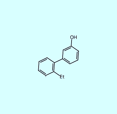 CCc1[c]cccc1-c1cccc(O)c1